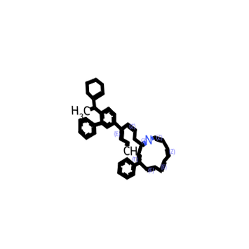 C=C/C=C(\C=C/CC1=N/C=C\C=C/C=C/C=C/C(c2ccccc2)=C\1)c1ccc(C(C)C2=CCCCC2)c(-c2ccccc2)c1